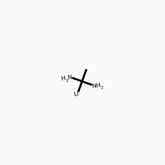 [Li][C](C)(N)N